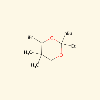 CCCCC1(CC)OCC(C)(C)C(C(C)C)O1